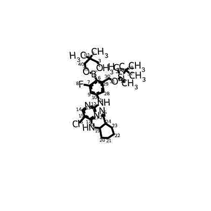 CC1(C)COB(c2c(F)cc(Nc3ncc(Cl)c(NC4CCCCC4C#N)n3)cc2CO[Si](C)(C)C(C)(C)C)OC1